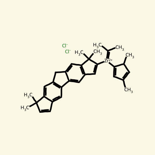 CC1=CC(C)[C]([Zr+2]([C]2=Cc3cc4c(cc3C2(C)C)Cc2cc3c(cc2-4)C=CC3(C)C)=[C](C)C)=C1.[Cl-].[Cl-]